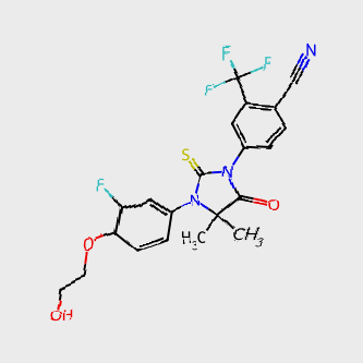 CC1(C)C(=O)N(c2ccc(C#N)c(C(F)(F)F)c2)C(=S)N1C1=CC(F)C(OCCO)C=C1